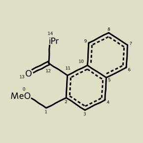 COCc1ccc2ccccc2c1C(=O)C(C)C